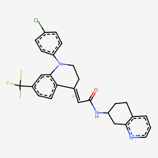 O=C(/C=C1\CCN(c2ccc(Cl)cc2)c2cc(C(F)(F)F)ccc21)NC1CCc2cccnc2C1